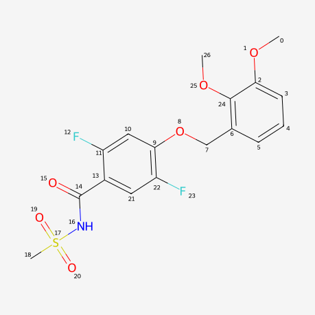 COc1cccc(COc2cc(F)c(C(=O)NS(C)(=O)=O)cc2F)c1OC